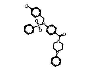 O=C(c1ccc(N(Cc2ccc(Cl)cc2)S(=O)(=O)c2ccccc2)cc1)N1CCN(c2ccccc2)CC1